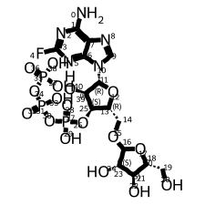 Nc1nc(F)nc2c1ncn2[C@@H]1O[C@H](COC2O[C@H](CO)[C@@H](O)[C@@H]2O)[C@@H](OP(=O)(O)OP(=O)(O)OP(=O)(O)O)[C@H]1O